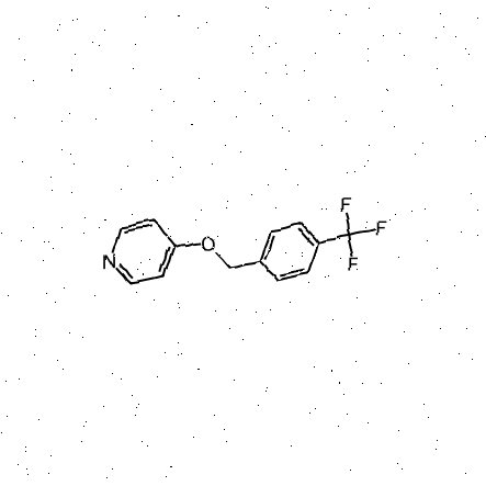 FC(F)(F)c1ccc(COc2ccncc2)cc1